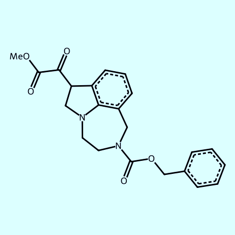 COC(=O)C(=O)C1CN2CCN(C(=O)OCc3ccccc3)Cc3cccc1c32